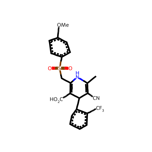 COc1ccc(S(=O)(=O)CC2=C(C(=O)O)C(c3ccccc3C(F)(F)F)C(C#N)=C(C)N2)cc1